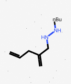 C=CCC(=C)CNNCCCC